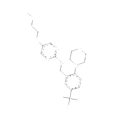 CSCCOc1cnc(NCc2cc(C(F)(F)F)ccc2N2C[C@@H](C)O[C@@H](C)C2)nc1